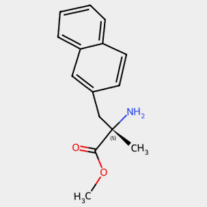 COC(=O)[C@@](C)(N)Cc1ccc2ccccc2c1